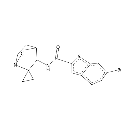 O=C(NC1C2CCN(CC2)C12CC2)c1cc2ccc(Br)cc2s1